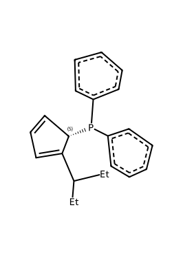 CCC(CC)C1=CC=C[C@@H]1P(c1ccccc1)c1ccccc1